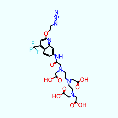 [N-]=[N+]=NCCOc1cc(C(F)(F)F)c2ccc(NC(=O)CN(CCN(CCN(CC(=O)O)CC(=O)O)CC(=O)O)CC(=O)O)cc2n1